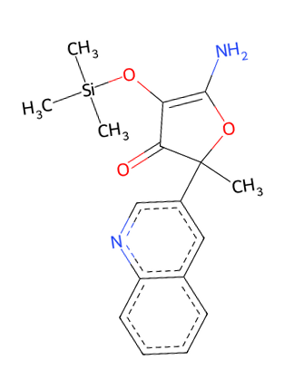 CC1(c2cnc3ccccc3c2)OC(N)=C(O[Si](C)(C)C)C1=O